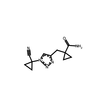 N#CC1(n2cc([CH]C3(C(N)=O)CC3)nn2)CC1